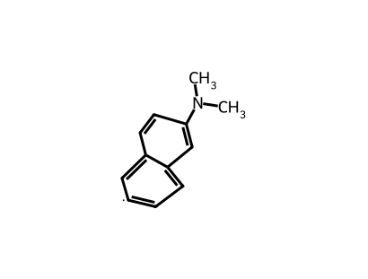 CN(C)c1ccc2c[c]ccc2c1